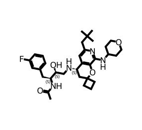 CC(=O)N[C@@H](Cc1cccc(F)c1)[C@@H](O)CN[C@H]1CC2(CCC2)Oc2c1cc(CC(C)(C)C)nc2NC1CCOCC1